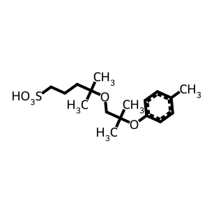 Cc1ccc(OC(C)(C)COC(C)(C)CCCS(=O)(=O)O)cc1